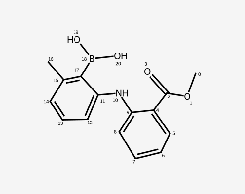 COC(=O)c1ccccc1Nc1cccc(C)c1B(O)O